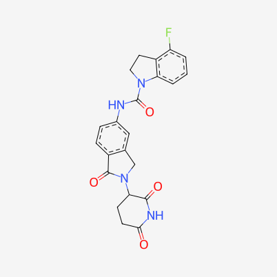 O=C1CCC(N2Cc3cc(NC(=O)N4CCc5c(F)cccc54)ccc3C2=O)C(=O)N1